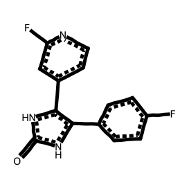 O=c1[nH]c(-c2ccc(F)cc2)c(-c2ccnc(F)c2)[nH]1